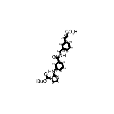 CC(C)COC(=O)N1CCN=C1Nc1cccc(C(=O)NCc2cccc(C=CC(=O)O)c2)c1